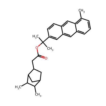 Cc1cccc2cc3cc(C(C)(C)OC(=O)CC4CC5CC4C(C)C5C)ccc3cc12